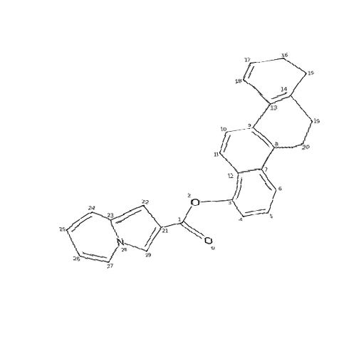 O=C(Oc1cccc2c3c(ccc12)C1=C(CCC=C1)CC3)c1cc2ccccn2c1